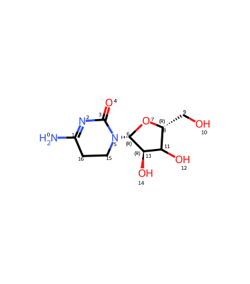 NC1=NC(=O)N([C@@H]2O[C@H](CO)C(O)[C@H]2O)CC1